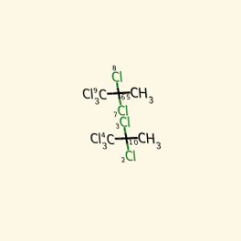 CC(Cl)(Cl)C(Cl)(Cl)Cl.CC(Cl)(Cl)C(Cl)(Cl)Cl